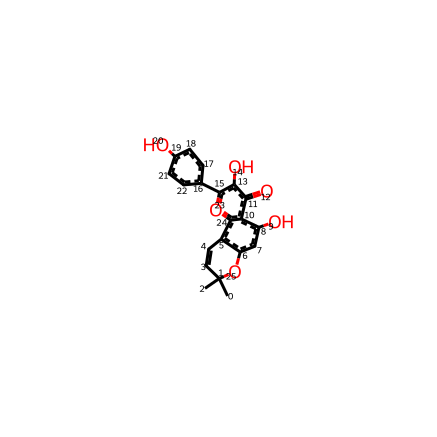 CC1(C)C=Cc2c(cc(O)c3c(=O)c(O)c(-c4ccc(O)cc4)oc23)O1